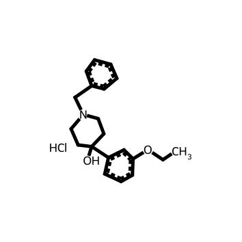 CCOc1cccc(C2(O)CCN(Cc3ccccc3)CC2)c1.Cl